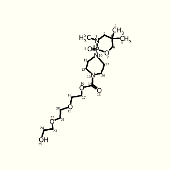 CN1CC(C)(C)COP1(=O)N1CCN(C(=O)OCCOCCOCCO)CC1